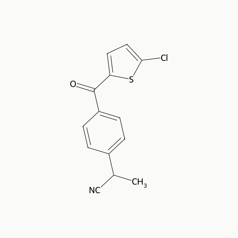 CC(C#N)c1ccc(C(=O)c2ccc(Cl)s2)cc1